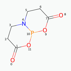 O=C1CCN2CCC(=O)OP2O1